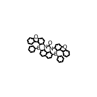 O=C1N2c3ccc4oc5ccccc5c4c3B(c3ccccc3)c3ccc4ccc5c(c4c32)N1c1ccc2oc3ccccc3c2c1B5c1ccccc1